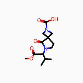 COC(=O)C(C(C)C)N1CCC2(CN(C(=O)O)C2)C1=O